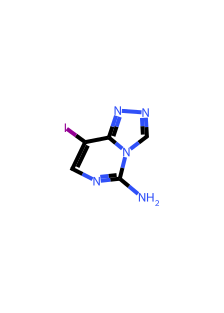 Nc1ncc(I)c2nncn12